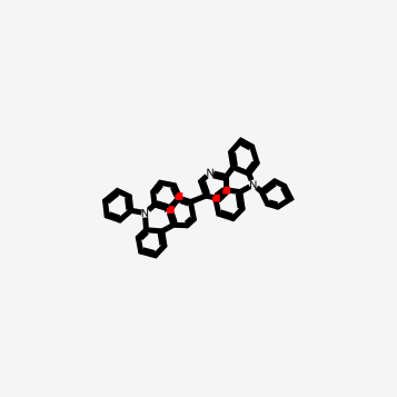 c1ccc(N(c2ccccc2)c2ccccc2-c2ccc(-c3ccc(-c4ccccc4N(c4ccccc4)c4ccccc4)nc3)cn2)cc1